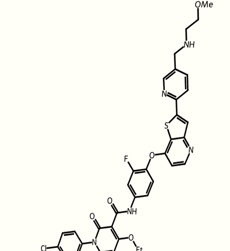 CCOc1ccn(-c2ccc(Cl)cc2)c(=O)c1C(=O)Nc1ccc(Oc2ccnc3cc(-c4ccc(CNCCOC)cn4)sc23)c(F)c1